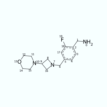 NCc1ccc(CN2CC(N3CCOCC3)C2)cc1F